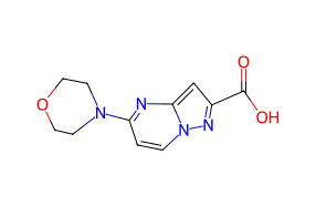 O=C(O)c1cc2nc(N3CCOCC3)ccn2n1